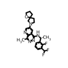 Cc1nnc(N[C@H](C)c2cccc(C(F)F)c2F)c2cc(N3CCC4(CCCO4)C3)cnc12